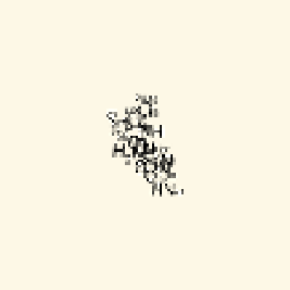 CNC1COc2c(S(N)(=O)=NC(=O)Nc3c4c(cc5c3CCC5C)CCC4)cnn2C1